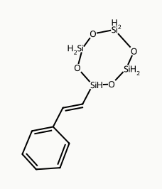 C(=C\[SiH]1O[SiH2]O[SiH2]O[SiH2]O1)/c1ccccc1